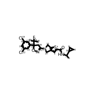 CC(NC(=O)c1cc2c(s1)CN(C1=NOC(c3cc(Cl)cc(Cl)c3)(C(F)(F)F)C1)C2)C1CC1